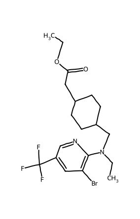 CCOC(=O)CC1CCC(CN(CC)c2ncc(C(F)(F)F)cc2Br)CC1